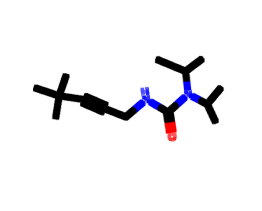 CC(C)N(C(=O)NCC#CC(C)(C)C)C(C)C